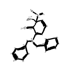 CC[C@H](C)C1([S+](C)[O-])C=CC=C(N(Cc2ccccc2)Cc2ccccc2)C1=O